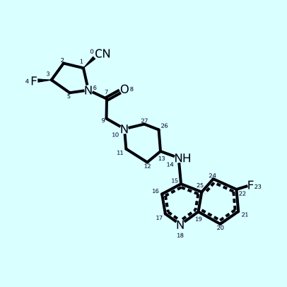 N#C[C@@H]1C[C@H](F)CN1C(=O)CN1CCC(Nc2ccnc3ccc(F)cc23)CC1